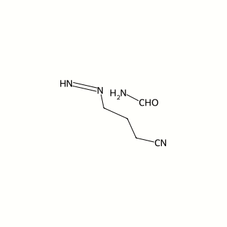 N#CCCCN=N.NC=O